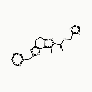 Cc1c(C(=O)NCc2ncco2)oc2c1-c1nn(Cc3ccccn3)cc1CC2